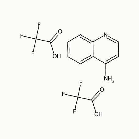 Nc1ccnc2ccccc12.O=C(O)C(F)(F)F.O=C(O)C(F)(F)F